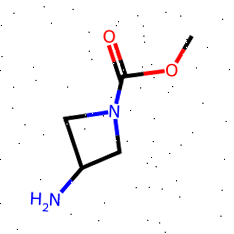 COC(=O)N1CC(N)C1